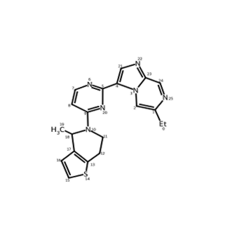 CCc1cn2c(-c3nccc(N4CCc5sccc5C4C)n3)cnc2cn1